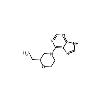 NCC1CN(c2ncnc3[nH]cnc23)CCO1